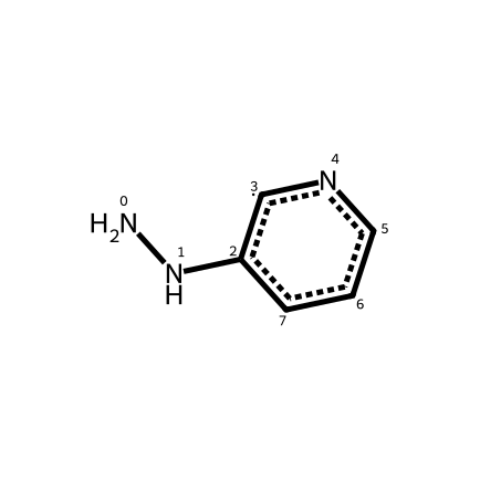 NNc1[c]nccc1